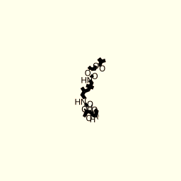 C=C(C)C(=O)OCC(C)OC(=O)NCC(C)(C)CC(C)CCNC(=O)O[C@@H]1CO[C@H]2[C@@H]1OC[C@@H]2C